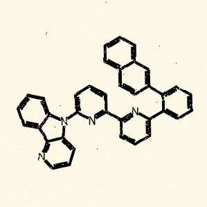 c1cc(-c2cccc(-n3c4ccccc4c4ncccc43)n2)nc(-c2ccccc2-c2ccc3ccccc3c2)c1